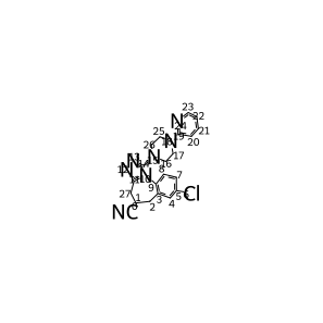 N#CC1Cc2cc(Cl)ccc2-n2c(nnc2N2CCN(c3ccccn3)CC2)C1